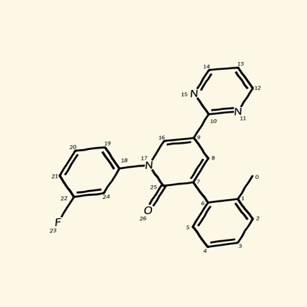 Cc1ccccc1-c1cc(-c2ncccn2)cn(-c2cccc(F)c2)c1=O